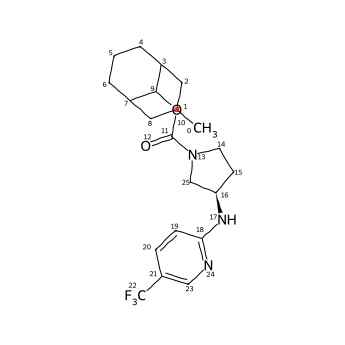 CC1CC2CCCC(C1)C2OC(=O)N1CC[C@@H](Nc2ccc(C(F)(F)F)cn2)C1